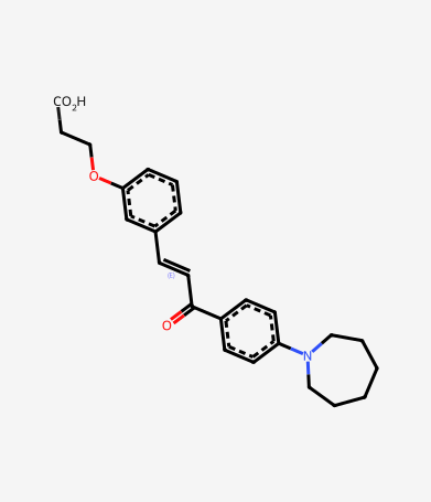 O=C(O)CCOc1cccc(/C=C/C(=O)c2ccc(N3CCCCCC3)cc2)c1